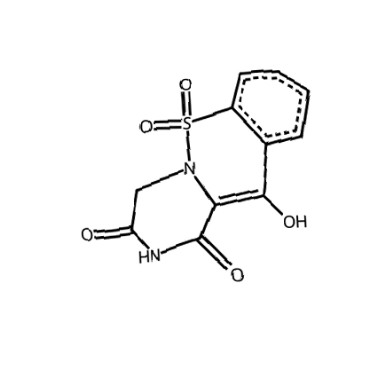 O=C1CN2C(=C(O)c3ccccc3S2(=O)=O)C(=O)N1